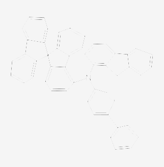 c1ccc(-c2ccc(N(c3cccc4c3Cc3ccccc3-4)c3cccc4c3-c3ccccc3C43c4ccccc4-c4ccccc43)cc2)cc1